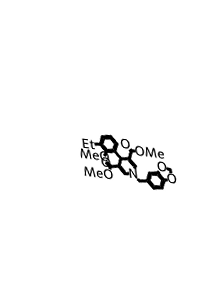 CCc1cccc(C2C(C(=O)OC)=CN(Cc3ccc4c(c3)OCO4)C=C2C(=O)OC)c1OC